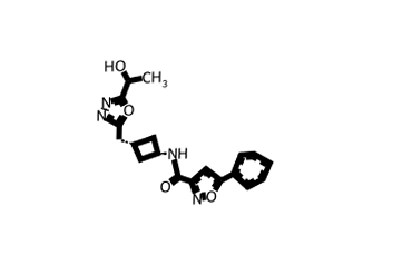 CC(O)c1nnc(C[C@H]2C[C@@H](NC(=O)c3cc(-c4ccccc4)on3)C2)o1